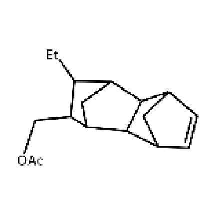 CCC1C(COC(C)=O)C2CC1C1C3C=CC(C3)C21